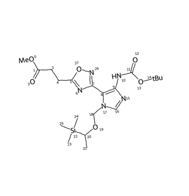 COC(=O)CCc1nc(-c2c(NC(=O)OC(C)(C)C)ncn2COC(C)[Si](C)(C)C)no1